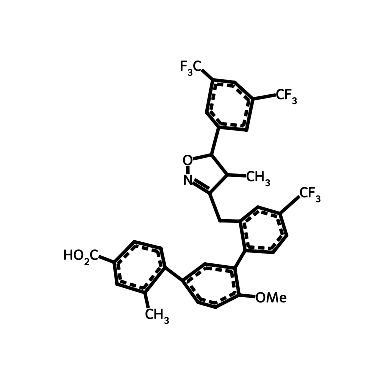 COc1ccc(-c2ccc(C(=O)O)cc2C)cc1-c1ccc(C(F)(F)F)cc1CC1=NOC(c2cc(C(F)(F)F)cc(C(F)(F)F)c2)C1C